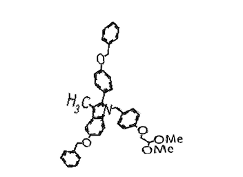 COC(COc1ccc(Cn2c(-c3ccc(OCc4ccccc4)cc3)c(C)c3cc(OCc4ccccc4)ccc32)cc1)OC